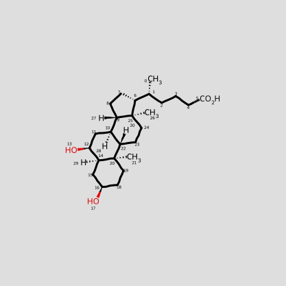 C[C@H](CCCC(=O)O)[C@H]1CC[C@H]2[C@@H]3C[C@H](O)[C@@H]4C[C@H](O)CC[C@]4(C)[C@H]3CC[C@]12C